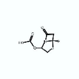 O=C(O)OC1CS[C@H]2CC(=O)N12